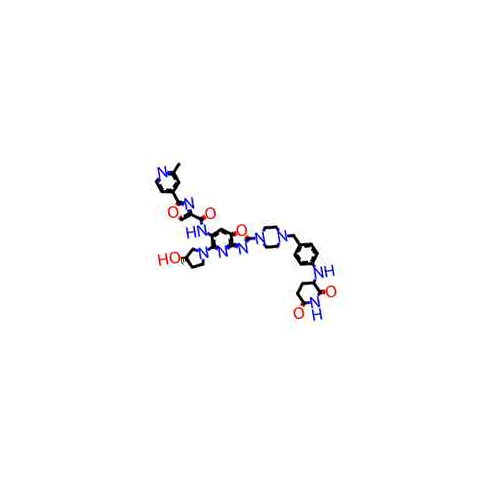 Cc1cc(-c2nc(C(=O)Nc3cc4oc(N5CCN(Cc6ccc(NC7CCC(=O)NC7=O)cc6)CC5)nc4nc3N3CC[C@@H](O)C3)co2)ccn1